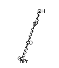 CCC[S+]([O-])CCSCSCSCCSC(=O)CCSCSCSCCCOOCSCCSCO